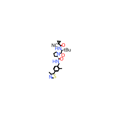 Cc1cc(C2SC=NC2C)ccc1CNC(=O)[C@@H]1CCCN1C(=O)[C@@H](NC(=O)C1(C#N)CC1)C(C)(C)C